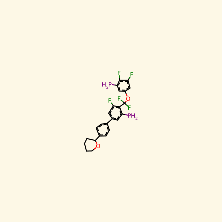 Fc1cc(OC(F)(F)c2c(F)cc(-c3ccc(C4CCCCO4)cc3)cc2P)cc(P)c1F